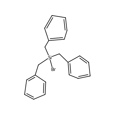 Br[Si](Cc1ccccc1)(Cc1ccccc1)Cc1ccccc1